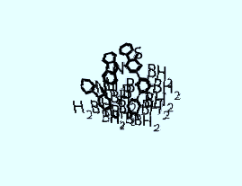 Bc1c(B)c(B)c(-c2c(B)c(B)c(B)c(-c3cc(-n4c5ccccc5c5cc(-n6c7ccccc7c7c(B)c(B)c(B)c(B)c76)ccc54)c4c(c3)sc3ccccc34)c2B)c(B)c1B